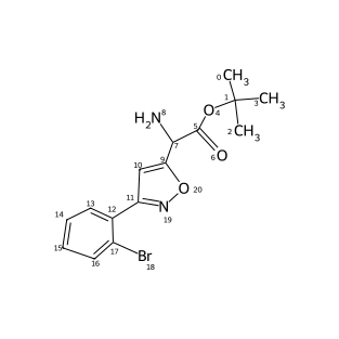 CC(C)(C)OC(=O)C(N)c1cc(-c2ccccc2Br)no1